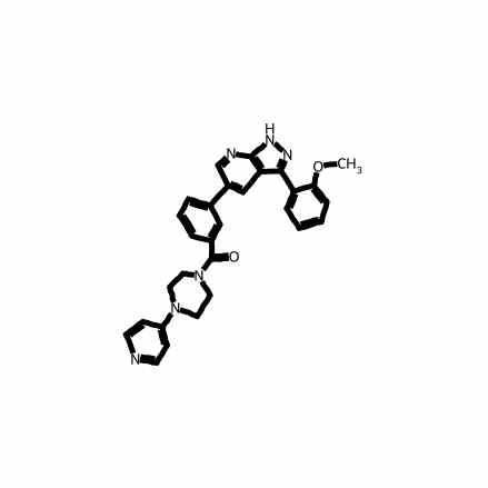 COc1ccccc1-c1n[nH]c2ncc(-c3cccc(C(=O)N4CCN(c5ccncc5)CC4)c3)cc12